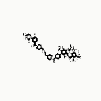 COc1cc2nc(C)nc(N[C@H](C)c3cc(N)cc(C(F)(F)F)c3)c2cc1C1CCC(C(=O)N2CCC(CCOCC3CCN(C(=O)c4ccc(F)c(-n5ccc(=O)[nH]c5=O)c4)CC3)CC2)CC1